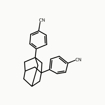 N#Cc1ccc(C23CC4CC(C2)CC(c2ccc(C#N)cc2)(C4)C3)cc1